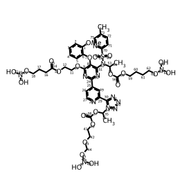 COc1ccccc1Oc1c(OCCOC(=O)CCCON(O)O)nc(-c2ccnc(-c3nnnn3C(C)OC(=O)OCCOCON(O)O)c2)nc1N(C(C)OC(=O)OCCCCON(O)O)S(=O)(=O)c1ccc(C)cn1